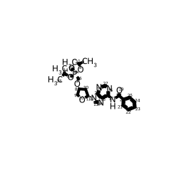 CC(C)OP(=O)(CO[C@H]1CO[C@@H](n2cnc3c(NC(=O)c4ccccc4)ncnc32)C1)OC(C)C